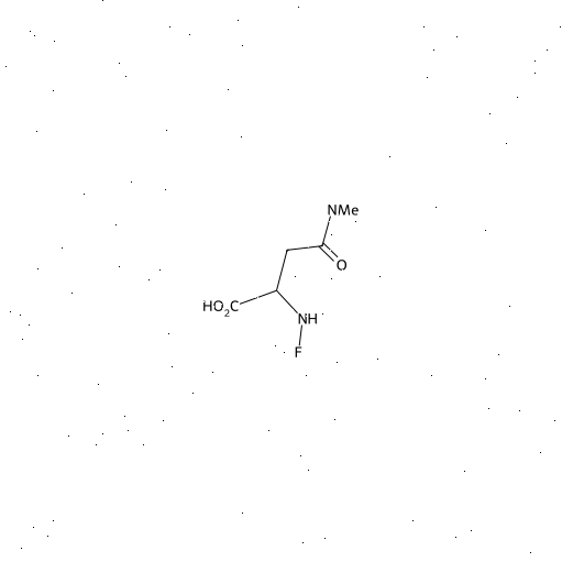 CNC(=O)CC(NF)C(=O)O